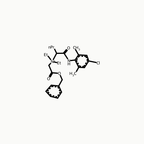 CCCC(C(=O)Nc1c(C)cc(Cl)cc1C)[N+](CC)(CC)CC(=O)OCc1ccccc1